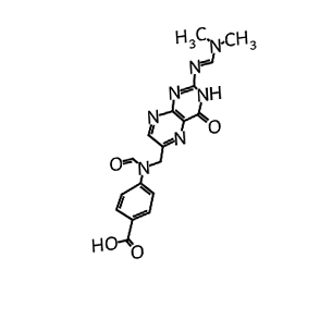 CN(C)C=Nc1nc2ncc(CN(C=O)c3ccc(C(=O)O)cc3)nc2c(=O)[nH]1